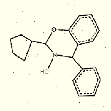 ON1C(c2ccccc2)c2ccccc2OC1C1CCCC1